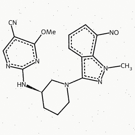 COc1nc(N[C@@H]2CCCN(c3nn(C)c4c(N=O)cccc34)C2)ncc1C#N